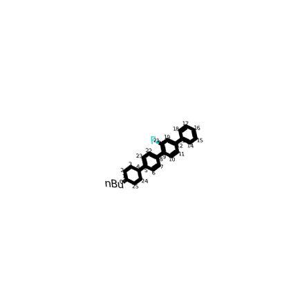 CCCCC1CCC(c2ccc(-c3ccc(-c4ccccc4)cc3F)cc2)CC1